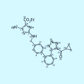 CCCc1sc(NCc2ccc(-c3ccccc3-c3nnnn3C(=O)C3CC3)cc2)nc1C(=O)OCC